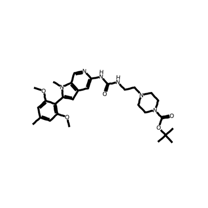 COc1cc(C)cc(OC)c1-c1cc2cc(NC(=O)NCCN3CCN(C(=O)OC(C)(C)C)CC3)ncc2n1C